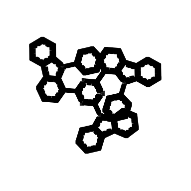 c1ccc(-n2c3ccccc3c3cccc(-c4nc(-c5cccc6c7ccccc7n(-c7ccccc7)c56)nc(-n5c6ccccc6c6ccccc65)n4)c32)cc1